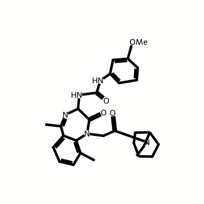 COc1cccc(NC(=O)NC2N=C(C)c3cccc(C)c3N(CC(=O)N3CC4CCC(CC4)C3)C2=O)c1